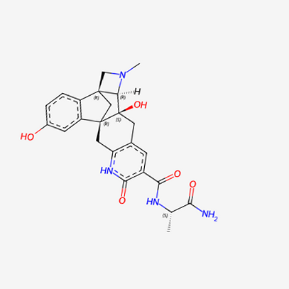 C[C@H](NC(=O)c1cc2c([nH]c1=O)C[C@@]13C[C@]4(CN(C)[C@H]4[C@]1(O)C2)c1ccc(O)cc13)C(N)=O